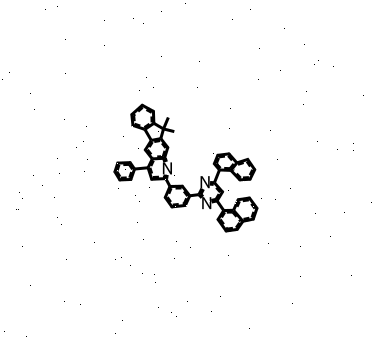 CC1(C)c2ccccc2-c2cc3c(-c4ccccc4)cc(-c4cccc(-c5nc(-c6cccc7ccccc67)cc(-c6cccc7ccccc67)n5)c4)nc3cc21